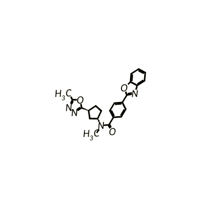 Cc1nnc([C@H]2CC[C@@H](N(C)C(=O)c3ccc(-c4nc5ccccc5o4)cc3)C2)o1